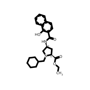 CCOC(=O)[C@@H]1C[C@H](NC(=O)c2ccc3ccccc3c2O)CN1CC1CCCCC1